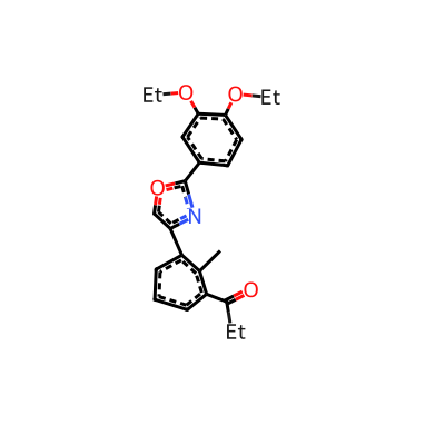 CCOc1ccc(-c2nc(-c3cccc(C(=O)CC)c3C)co2)cc1OCC